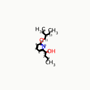 CCCC(O)c1cccc(OCC(CC)CC)n1